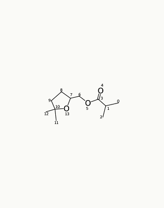 CC(C)C(=O)OCC1CCC(C)(C)O1